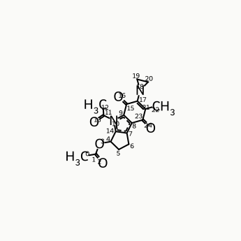 CC(=O)OC1CCc2c3c(n(C(C)=O)c21)C(=O)C(N1CC1)=C(C)C3=O